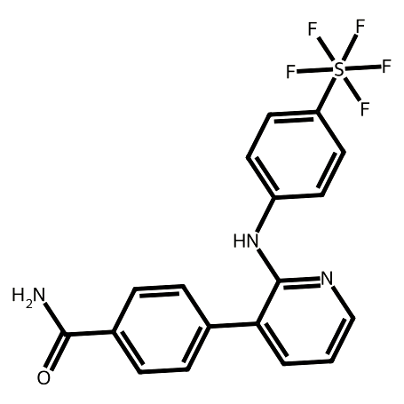 NC(=O)c1ccc(-c2cccnc2Nc2ccc(S(F)(F)(F)(F)F)cc2)cc1